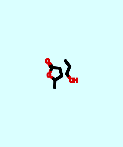 CC1CCC(=O)O1.CCCO